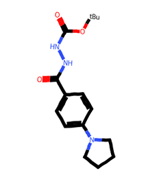 CC(C)(C)OC(=O)NNC(=O)c1ccc(N2CCCC2)cc1